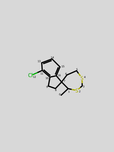 CC1SCSCCC12CCc1c(Cl)cccc12